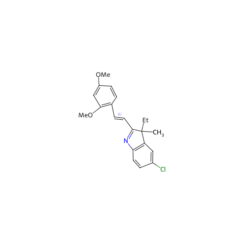 CCC1(C)C(/C=C/c2ccc(OC)cc2OC)=Nc2ccc(Cl)cc21